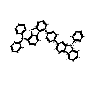 c1ccc(N(c2ccccc2)c2cccc3c2sc2cccc(-c4ccc(-c5ccc6c7ccccc7n(-c7ccccc7)c6c5)cc4)c23)cc1